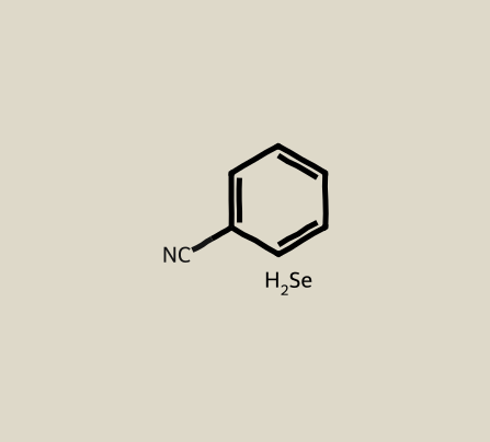 N#Cc1ccccc1.[SeH2]